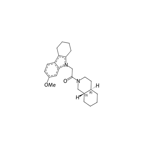 COc1ccc2c3c(n(CC(=O)N4CC[C@H]5CCCC[C@@H]5C4)c2c1)CCCC3